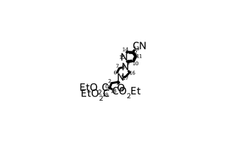 CCOC(=O)C(CC(=O)N1CCN(c2ccc(C#N)cn2)CC1)(C(=O)OCC)C(=O)OCC